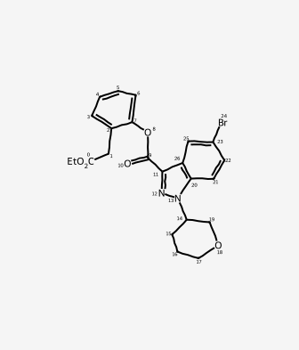 CCOC(=O)Cc1ccccc1OC(=O)c1nn(C2CCCOC2)c2ccc(Br)cc12